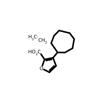 O=C(O)c1occc1[C]1CCCCCCC1.[CH2].[CH2]